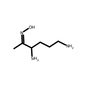 CC(=NO)C([SiH3])CCCN